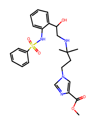 COC(=O)c1cn(CCC(C)(C)NCC(O)c2ccccc2NS(=O)(=O)c2ccccc2)cn1